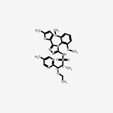 CCO[C@@H](c1ncc(C)cn1)[C@@H](C)S(=O)(=O)Nc1nnc(-c2ccc(C)o2)n1-c1c(OC)cccc1OC